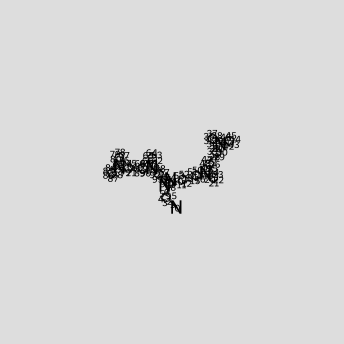 N#Cc1cccc(-c2cc(-c3ccc(-c4ccc(-n5c6ccccc6c6cc(-c7ccc8c(c7)c7ccccc7n8-c7ccccc7)ccc65)cc4)cc3)nc(-c3ccc(-n4c5ccccc5c5cc(-c6ccc7c(c6)c6ccccc6n7-c6ccccc6)ccc54)cc3)n2)c1